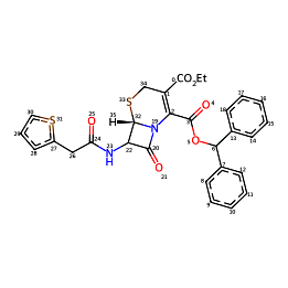 CCOC(=O)C1=C(C(=O)OC(c2ccccc2)c2ccccc2)N2C(=O)C(NC(=O)Cc3cccs3)[C@@H]2SC1